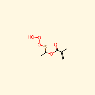 C=C(C)C(=O)OC(C)SOOO